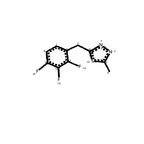 Cc1nnc(Cc2ccc(F)c(F)c2F)s1